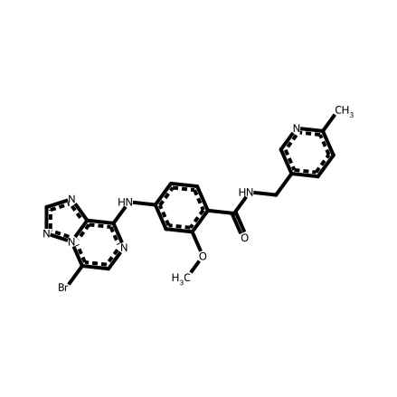 COc1cc(Nc2ncc(Br)n3ncnc23)ccc1C(=O)NCc1ccc(C)nc1